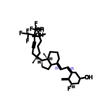 C=C1/C(=C\C=C2/CCC[C@@]3(C)C2CC[C@@H]3[C@@](C)(CC#CC(O)(C(F)(F)F)C(F)(F)F)CCCC(C)(C)O)CC(O)C[C@@H]1F